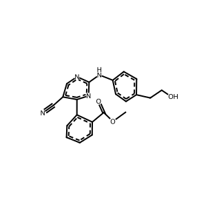 COC(=O)c1ccccc1-c1nc(Nc2ccc(CCO)cc2)ncc1C#N